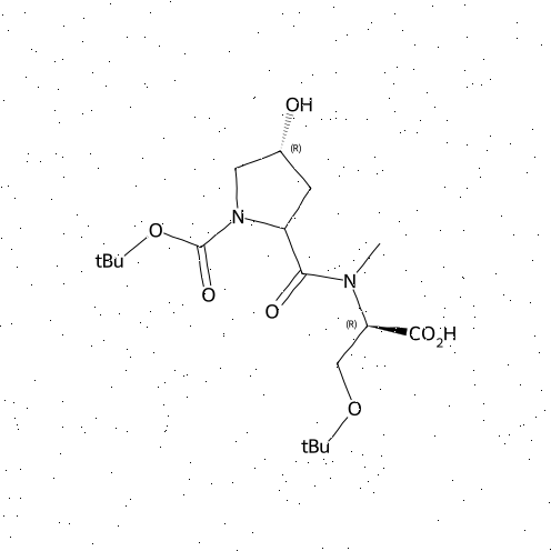 CN(C(=O)C1C[C@@H](O)CN1C(=O)OC(C)(C)C)[C@H](COC(C)(C)C)C(=O)O